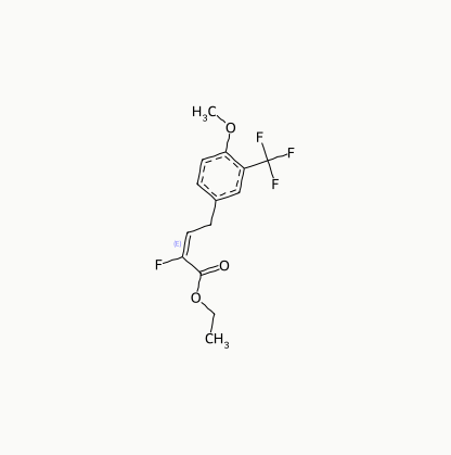 CCOC(=O)/C(F)=C\Cc1ccc(OC)c(C(F)(F)F)c1